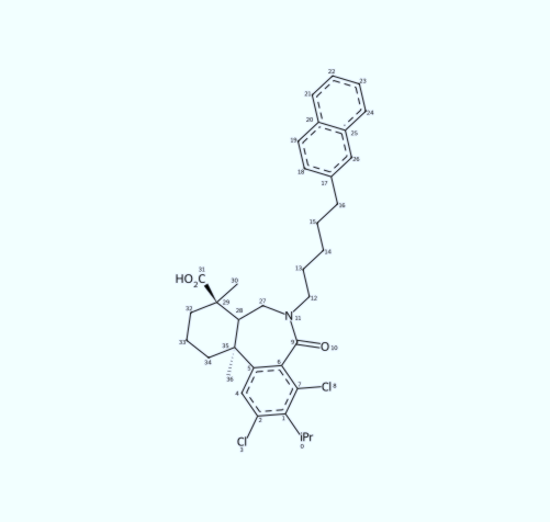 CC(C)c1c(Cl)cc2c(c1Cl)C(=O)N(CCCCCc1ccc3ccccc3c1)CC1[C@](C)(C(=O)O)CCC[C@]21C